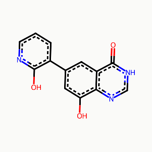 O=c1[nH]cnc2c(O)cc(-c3cccnc3O)cc12